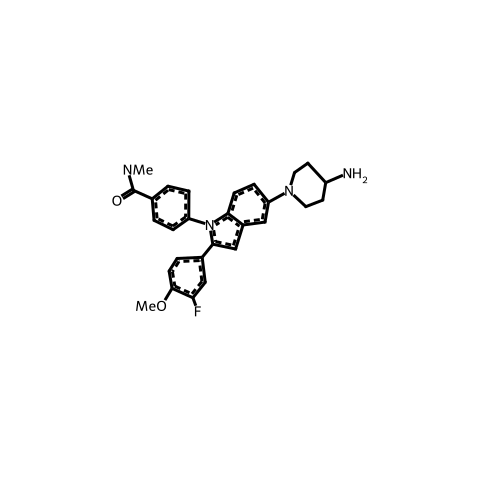 CNC(=O)c1ccc(-n2c(-c3ccc(OC)c(F)c3)cc3cc(N4CCC(N)CC4)ccc32)cc1